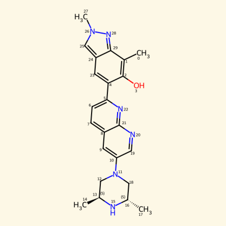 Cc1c(O)c(-c2ccc3cc(N4C[C@H](C)N[C@@H](C)C4)cnc3n2)cc2cn(C)nc12